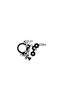 COc1ccc2c(O[C@@H]3C[C@H]4C(=O)N[C@]5(C(=O)NS(=O)(=O)C6CC6)C[C@H]5/C=C\CCCCC[C@H](CC(=O)O)C(=O)N4C3)cc(-c3ccccc3)nc2c1